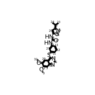 COc1cc2ncnc(Sc3cccc(NC(=O)Nc4cc(C(C)C)no4)c3)c2cc1OC